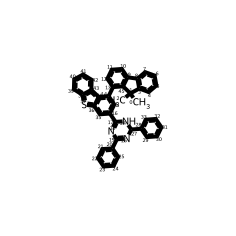 CC1(C)c2ccccc2-c2cccc(-c3cc(C4=NC(c5ccccc5)=NC(c5ccccc5)N4)cc4sc5ccccc5c34)c21